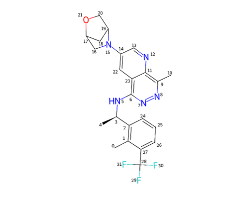 Cc1c([C@@H](C)Nc2nnc(C)c3ncc(N4CC5CC4CO5)cc23)cccc1C(F)(F)F